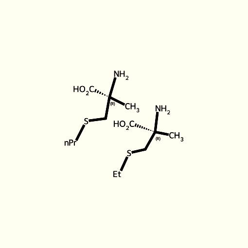 CCCSC[C@](C)(N)C(=O)O.CCSC[C@](C)(N)C(=O)O